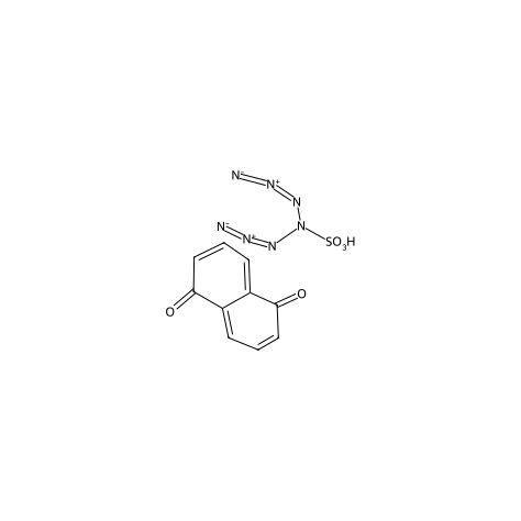 O=C1C=CC=C2C(=O)C=CC=C12.[N-]=[N+]=NN(N=[N+]=[N-])S(=O)(=O)O